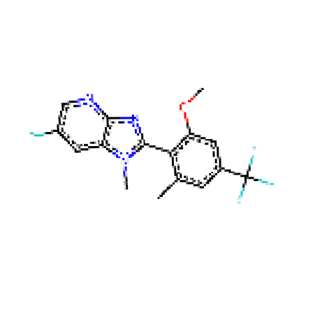 COc1cc(C(F)(F)F)cc(C)c1-c1nc2ncc(F)cc2n1C